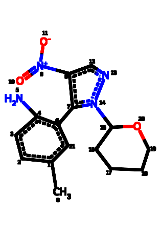 Cc1ccc(N)c(-c2c([N+](=O)[O-])cnn2C2CCCCO2)c1